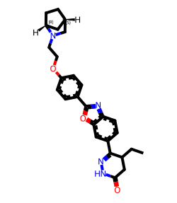 CCC1CC(=O)NN=C1c1ccc2nc(-c3ccc(OCCN4C[C@H]5CC[C@@H]4C5)cc3)oc2c1